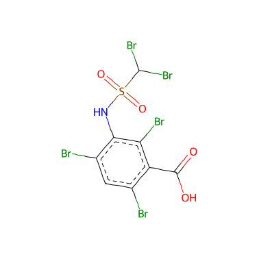 O=C(O)c1c(Br)cc(Br)c(NS(=O)(=O)C(Br)Br)c1Br